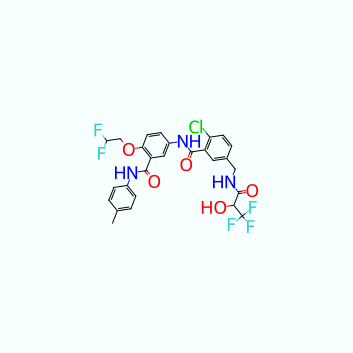 Cc1ccc(NC(=O)c2cc(NC(=O)c3cc(CNC(=O)C(O)C(F)(F)F)ccc3Cl)ccc2OCC(F)F)cc1